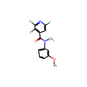 CC(C)Oc1cccc(N(C)C(=O)c2cc(F)nc(F)c2F)c1